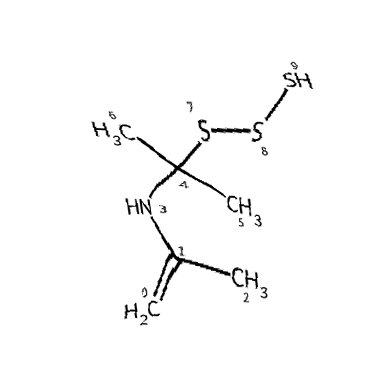 C=C(C)NC(C)(C)SSS